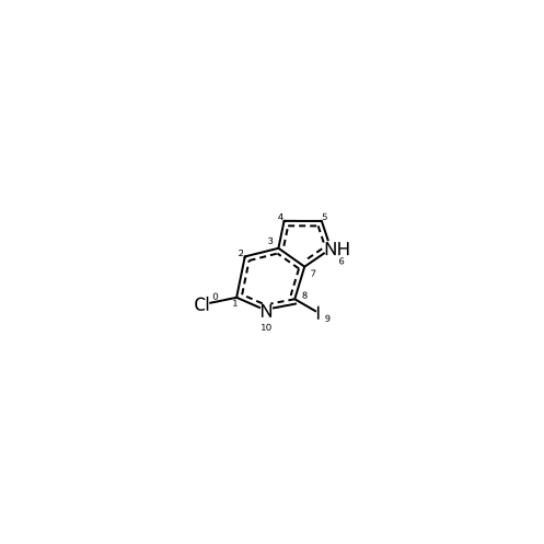 Clc1cc2cc[nH]c2c(I)n1